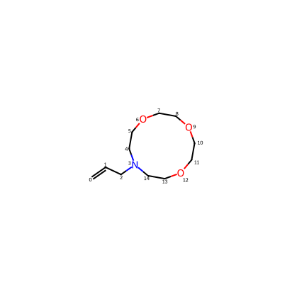 C=CCN1CCOCCOCCOCC1